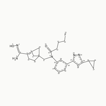 N/C(=N\O)C1=C2CC(CN(C(=O)CCCF)c3cccc(-c4nnc(C5CC5)o4)c3)(CC1)C2